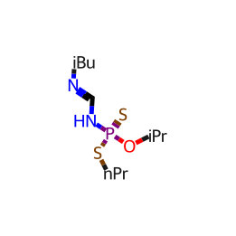 CCCSP(=S)(NC=NC(C)CC)OC(C)C